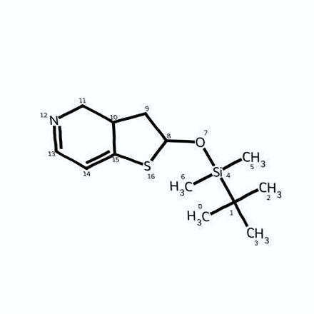 CC(C)(C)[Si](C)(C)OC1CC2CN=CC=C2S1